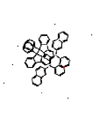 c1ccc(N(c2ccc3c(c2)C(c2ccccc2)(C2(c4ccccc4)c4ccccc4-c4ccc(N(c5ccccc5)c5ccc6ccccc6c5)cc42)c2ccccc2-3)c2ccc3ccccc3c2)cc1